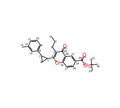 CCCc1c(C2CC2c2cccc(C)c2)oc2ccc(C(=O)OC(C)(C)C)cc2c1=O